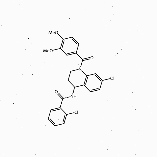 COc1ccc(C(=O)N2CCC(NC(=O)c3ccccc3Cl)c3ccc(Cl)cc32)cc1OC